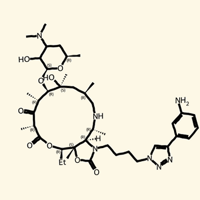 CC[C@H]1OC(=O)[C@H](C)C(=O)[C@H](C)[C@@H](O[C@@H]2O[C@H](C)CC(N(C)C)C2O)[C@@](C)(O)C[C@@H](C)CN[C@H](C)[C@H]2N(CCCCn3cc(-c4cccc(N)c4)nn3)C(=O)O[C@]12C